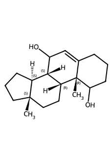 C[C@@]12CCC[C@H]1[C@@H]1C(O)C=C3CCCC(O)[C@]3(C)[C@@H]1CC2